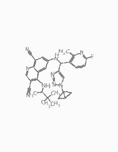 Cc1nc(F)ccc1C(Nc1cc(C#N)c2ncc(C#N)c(NC(C)C(C)(C)C)c2c1)c1cn(C23CC2C3)nn1